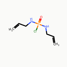 C=CCNP(=O)(Cl)NCC=C